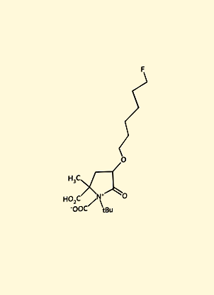 CC(C)(C)[N+]1(C(=O)[O-])C(=O)C(OCCCCCCF)CC1(C)C(=O)O